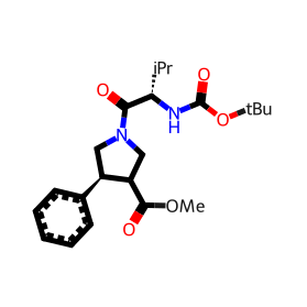 COC(=O)C1CN(C(=O)[C@@H](NC(=O)OC(C)(C)C)C(C)C)C[C@@H]1c1ccccc1